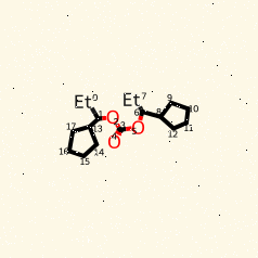 CCC(OC(=O)OC(CC)C1CCCC1)C1CCCC1